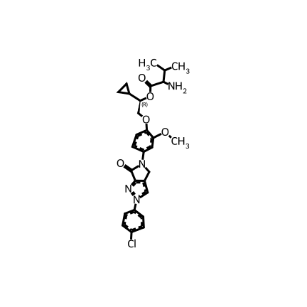 COc1cc(N2Cc3cn(-c4ccc(Cl)cc4)nc3C2=O)ccc1OC[C@H](OC(=O)C(N)C(C)C)C1CC1